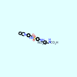 O=C(O)NCC12CCC(CNc3ccc(S(=O)(=O)NC(=O)c4ccc(N5CCC6(CCCC6)CC5)cc4)cc3[N+](=O)[O-])(CC1)CC2